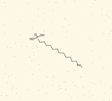 O=P(O)(O)CCCCCCCCCCCCP